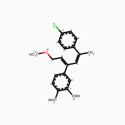 COc1ccc(C(C=C(C)c2ccc(Cl)cc2)=CCOC(=O)O)cc1OC